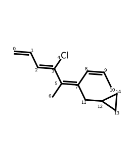 C=C/C=C(Cl)/C(C)=C(\C=C/C)CC1CC1